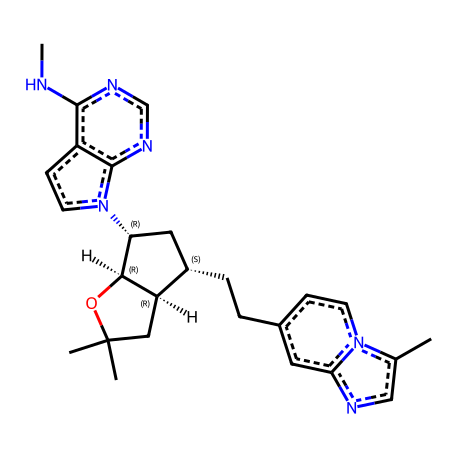 CNc1ncnc2c1ccn2[C@@H]1C[C@H](CCc2ccn3c(C)cnc3c2)[C@H]2CC(C)(C)O[C@H]21